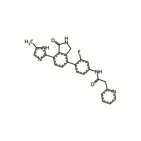 Cc1cnc(-c2ccc(-c3ccc(NC(=O)Cc4ccccn4)cc3F)c3c2C(=O)NC3)[nH]1